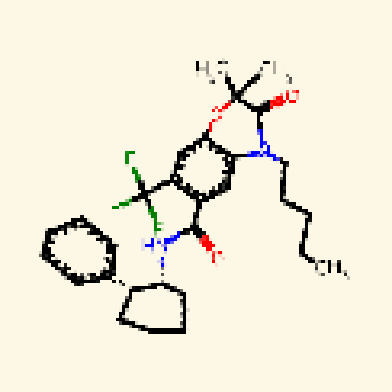 CCCCCN1C(=O)C(C)(C)Oc2cc(C(F)(F)F)c(C(=O)N[C@@H]3CCCC[C@@H]3c3ccccc3)cc21